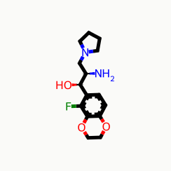 N[C@H](CN1CCCC1)[C@H](O)c1ccc2c(c1F)OCCO2